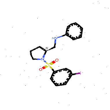 O=S(=O)(c1cccc(I)c1)N1CCC[C@H]1CNc1ccccc1